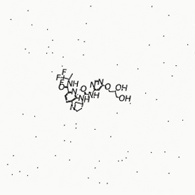 CC(NC(=O)c1ccc2c(n1)N(C(=O)Nc1cc(OCC(O)CO)ncn1)[C@H]1CCN2C1)C(F)(F)F